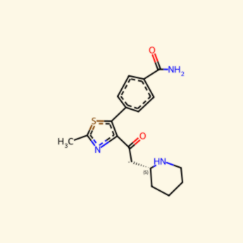 Cc1nc(C(=O)[CH][C@H]2CCCCN2)c(-c2ccc(C(N)=O)cc2)s1